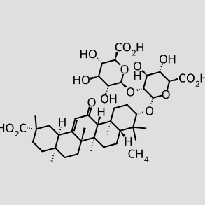 C.CC1(C)[C@@H](O[C@H]2O[C@H](C(=O)O)[C@@H](O)[C@H](O)[C@H]2O[C@@H]2O[C@H](C(=O)O)[C@@H](O)[C@H](O)[C@H]2O)CC[C@]2(C)[C@H]3C(=O)C=C4[C@@H]5C[C@@](C)(C(=O)O)CC[C@]5(C)CC[C@@]4(C)[C@]3(C)CC[C@@H]12